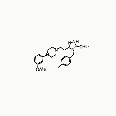 COc1cccc(N2CCN(CCC3=NNC(C=O)N3Cc3ccc(C)cc3)CC2)c1